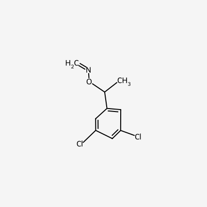 C=NOC(C)c1cc(Cl)cc(Cl)c1